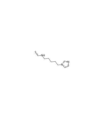 S=CNCCCCCn1ccnc1